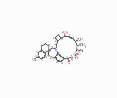 CCC1C(C)C(C)C=CC(O)C2CCC2CN2CC3(CCCc4cc(Cl)ccc43)COc3ccc(cc32)C(=O)NS1(=O)=O